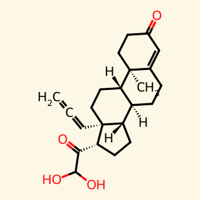 C=C=C[C@]12CC[C@H]3[C@@H](CCC4=CC(=O)CC[C@@]43C)[C@@H]1CC[C@@H]2C(=O)C(O)O